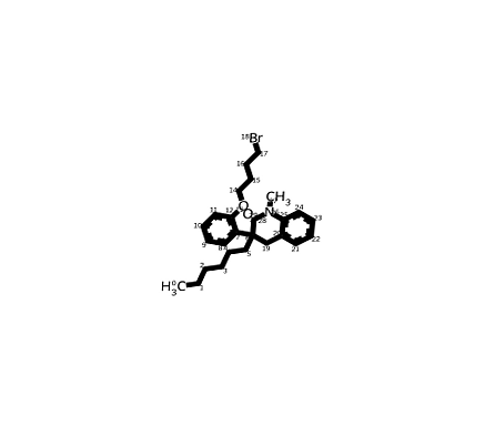 CCCCCCC1(c2ccccc2OCCCCBr)Cc2ccccc2N(C)C1=O